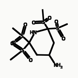 CS(=O)(=O)C1(S(C)(=O)=O)CC(N)CC(S(C)(=O)=O)(S(C)(=O)=O)N1